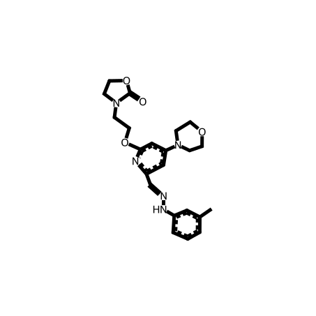 Cc1cccc(NN=Cc2cc(N3CCOCC3)cc(OCCN3CCOC3=O)n2)c1